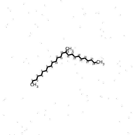 CCCCCCCCCCCCC[CH]C(C)CCCCCCCCCC